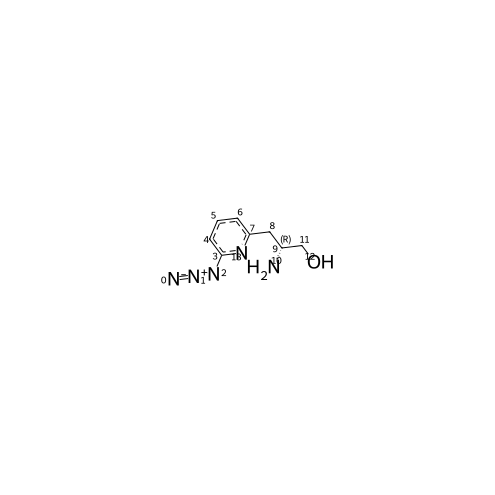 [N-]=[N+]=Nc1cccc(C[C@@H](N)CO)n1